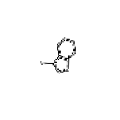 Brc1[c]oc2ccccc12